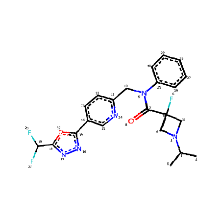 CC(C)N1CC(F)(C(=O)N(Cc2ccc(-c3nnc(C(F)F)o3)cn2)c2ccccc2)C1